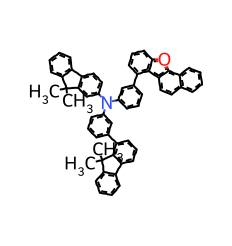 CC1(C)c2ccccc2-c2ccc(N(c3cccc(-c4cccc5c4C(C)(C)c4ccccc4-5)c3)c3cccc(-c4cccc5oc6c7ccccc7ccc6c45)c3)cc21